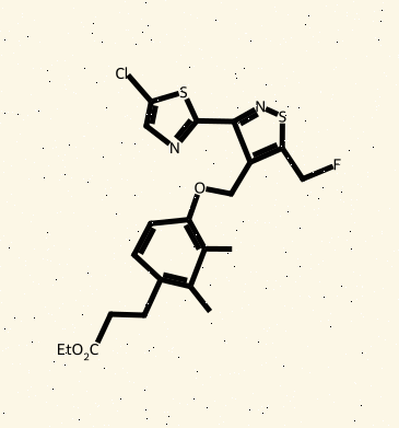 CCOC(=O)CCc1ccc(OCc2c(-c3ncc(Cl)s3)nsc2CF)c(C)c1C